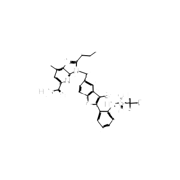 CCCc1nc2c(C)cc(C(N)=O)nc2n1Cc1ccc2oc(-c3ccccc3NS(=O)(=O)C(F)(F)F)c(Br)c2c1